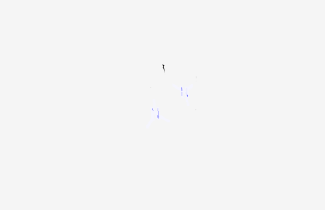 CC(C)N1C[C@@H](C)N(C)[C@H](C)C1